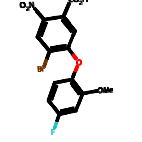 COc1cc(F)ccc1Oc1cc(C(=O)O)c([N+](=O)[O-])cc1Br